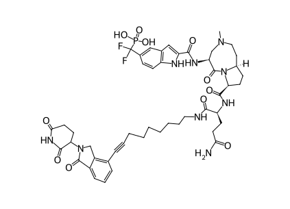 CN1CC[C@H]2CC[C@@H](C(=O)N[C@@H](CCC(N)=O)C(=O)NCCCCCCCC#Cc3cccc4c3CN(C3CCC(=O)NC3=O)C4=O)N2C(=O)[C@@H](NC(=O)c2cc3cc(C(F)(F)P(=O)(O)O)ccc3[nH]2)C1